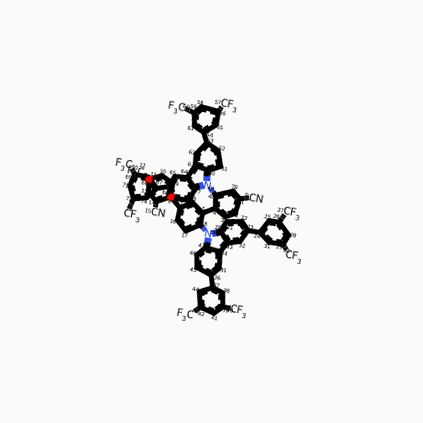 N#Cc1ccc(-c2cc(-c3ccc(C(F)(F)F)cc3C#N)ccc2-n2c3ccc(-c4cc(C(F)(F)F)cc(C(F)(F)F)c4)cc3c3cc(-c4cc(C(F)(F)F)cc(C(F)(F)F)c4)ccc32)c(-n2c3ccc(-c4cc(C(F)(F)F)cc(C(F)(F)F)c4)cc3c3cc(-c4cc(C(F)(F)F)cc(C(F)(F)F)c4)ccc32)c1